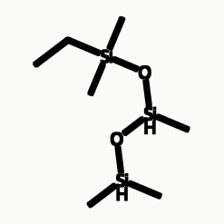 CC[Si](C)(C)O[SiH](C)O[SiH](C)C